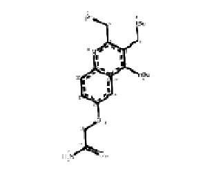 CCCCc1c([CH]C(C)(C)C)c(CC(C)C)nc2ccc(OCC(N)=O)cc12